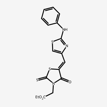 CCOC(=O)CN1C(=O)C(=Cc2csc(Nc3ccccc3)n2)SC1=S